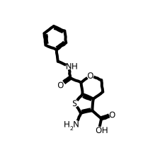 Nc1sc2c(c1C(=O)O)CCOC2C(=O)NCc1ccccc1